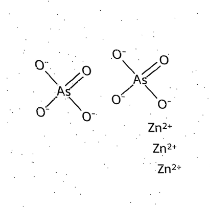 O=[As]([O-])([O-])[O-].O=[As]([O-])([O-])[O-].[Zn+2].[Zn+2].[Zn+2]